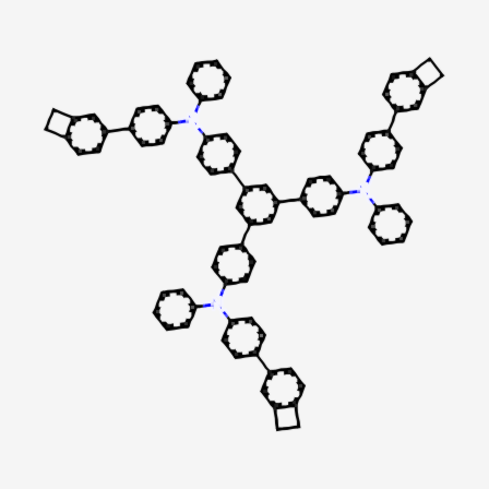 c1ccc(N(c2ccc(-c3cc(-c4ccc(N(c5ccccc5)c5ccc(-c6ccc7c(c6)CC7)cc5)cc4)cc(-c4ccc(N(c5ccccc5)c5ccc(-c6ccc7c(c6)CC7)cc5)cc4)c3)cc2)c2ccc(-c3ccc4c(c3)CC4)cc2)cc1